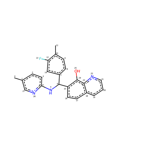 Cc1ccc(NC(c2ccc(C)c(F)c2)c2ccc3cccnc3c2O)nc1